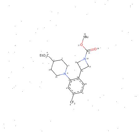 CCOC(=O)C1CCN(c2cc(C(F)(F)F)ccc2C2CN(C(=O)OC(C)(C)C)C2)CC1